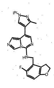 Cc1nn(C(C)C)cc1-c1cnc(NCc2c(F)ccc3c2CCO3)n2cncc12